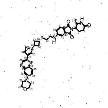 O=C1CCC(N2C(=O)c3ccc(NCCC[C@H]4C[C@H](n5cc(-c6cnc7cc(N8CCOCC8)ccc7n6)cn5)C4)cc3C2=O)C(=O)N1